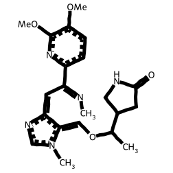 C\N=C(/C=c1/ncn(C)/c1=C\OC(C)C1CNC(=O)C1)c1ccc(OC)c(OC)n1